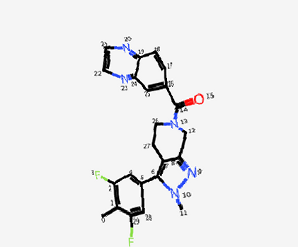 Cc1c(F)cc(-c2c3c(nn2C)CN(C(=O)c2ccc4nccnc4c2)CC3)cc1F